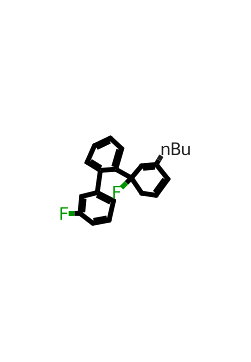 CCCCC1=CC(F)(c2ccccc2-c2cccc(F)c2)CC=C1